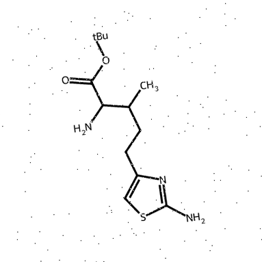 CC(CCc1csc(N)n1)C(N)C(=O)OC(C)(C)C